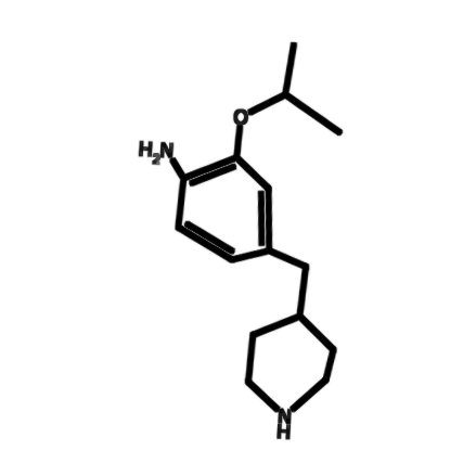 CC(C)Oc1cc(CC2CCNCC2)ccc1N